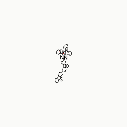 c1ccc(-c2nc(-c3ccc4c(c3)oc3ccc(-c5ccc6c(c5)sc5ccccc56)cc34)nc(-c3ccccc3-n3c4ccccc4c4ccccc43)n2)cc1